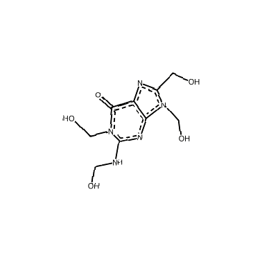 O=c1c2nc(CO)n(CO)c2nc(NCO)n1CO